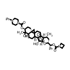 CC(C)[C@@H](OC(=O)N1CCC1)[C@H]1C[C@@H](C)[C@H]2[C@H](O1)[C@H](O)[C@@]1(C)[C@@H]3CC[C@H]4C(C)(C)[C@@H](OC(=O)N5CCN(C(C)C)CC5)CC[C@@]45CC35CC[C@]21C